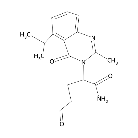 Cc1nc2cccc(C(C)C)c2c(=O)n1C(CCC=O)C(N)=O